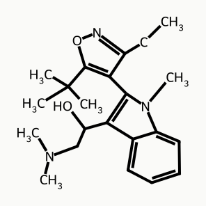 CCc1noc(C(C)(C)C)c1-c1c(C(O)CN(C)C)c2ccccc2n1C